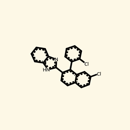 Clc1ccc2ccc(-c3nc4ccccc4[nH]3)c(-c3ccccc3Cl)c2c1